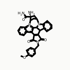 COc1ccc(CN2C(=O)C3=C(C2=O)C2c4ccccc4N4C5CC(n6c(c3c3ccccc36)C24)[C@](N)(C(N)=O)C5)cc1